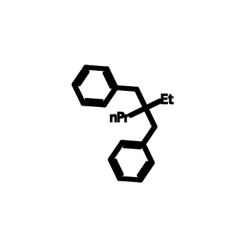 CCCC(CC)(Cc1ccccc1)Cc1ccccc1